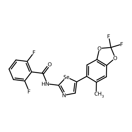 Cc1cc2c(cc1-c1cnc(NC(=O)c3c(F)cccc3F)[se]1)OC(F)(F)O2